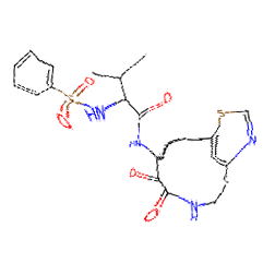 CC(C)C(NS(=O)(=O)c1ccccc1)C(=O)NC1Cc2scnc2CCNC(=O)C1=O